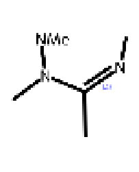 C/N=C(/C)N(C)NC